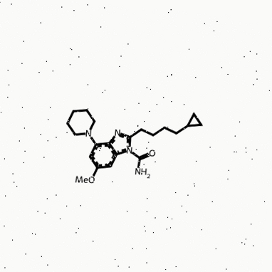 COc1cc(N2CCCCC2)c2nc(CCCCC3CC3)n(C(N)=O)c2c1